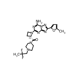 Cc1ccc(-c2nc3nc(N4CC[C@H]4C(=O)N4CCN(CC(C)(F)F)CC4)nc(N)n3n2)o1